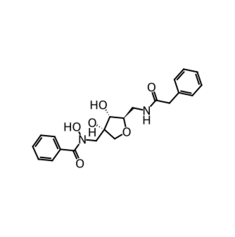 O=C(Cc1ccccc1)NC[C@H]1OC[C@@](O)(CN(O)C(=O)c2ccccc2)[C@@H]1O